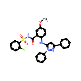 COc1ccc(Nc2cc(-c3ccccc3)nn2-c2ccccc2)c(C(=O)NS(=O)(=O)c2ccccc2F)c1